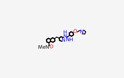 CNC(=O)c1cccc2cc(Cc3ccnc(NC(=N)c4ccc(OCCN5CCCC5)cc4)c3)ccc12